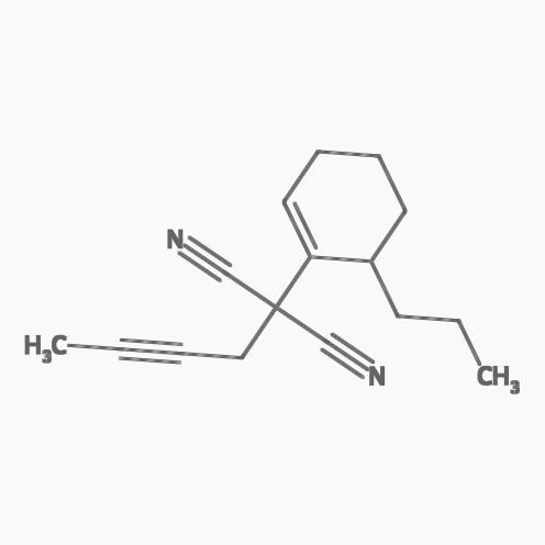 CC#CCC(C#N)(C#N)C1=CCCCC1CCC